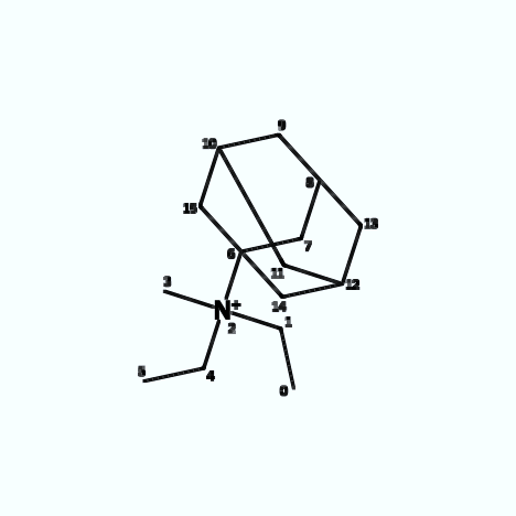 CC[N+](C)(CC)C12CC3CC(CC(C3)C1)C2